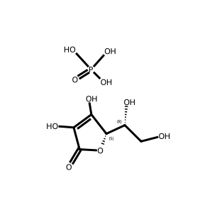 O=C1O[C@@H]([C@H](O)CO)C(O)=C1O.O=P(O)(O)O